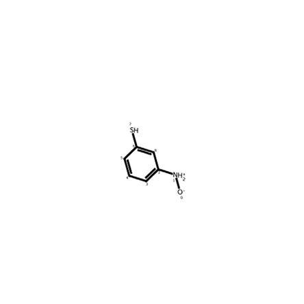 [O-][NH2+]c1cccc(S)c1